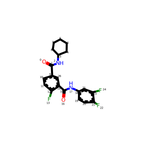 O=C(NC1CCCCC1)c1ccc(F)c(C(=O)Nc2ccc(F)c(F)c2)c1